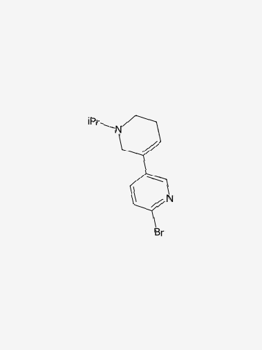 CC(C)N1CCC=C(c2ccc(Br)nc2)C1